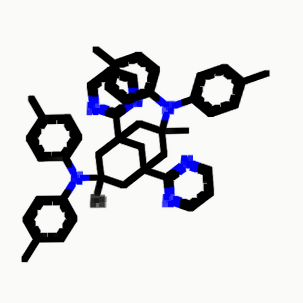 CCC1(N(c2ccc(C)cc2)c2ccc(C)cc2)CC2(c3ncccn3)CC(c3ncccn3)(CC(C)(N(c3ccc(C)cc3)c3ccc(C)cc3)C2)C1